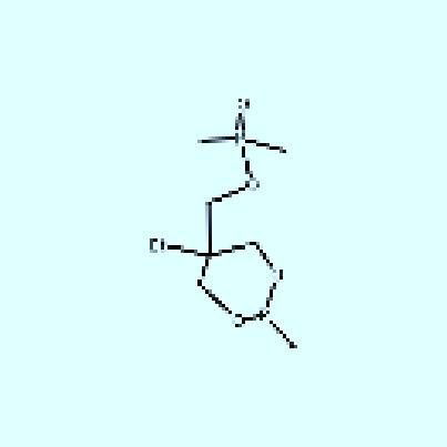 CCC1(COP(C)(C)=O)COP(C)OC1